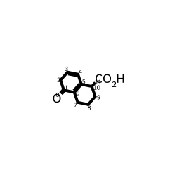 O=C1CC=CC2=C1CCCC2C(=O)O